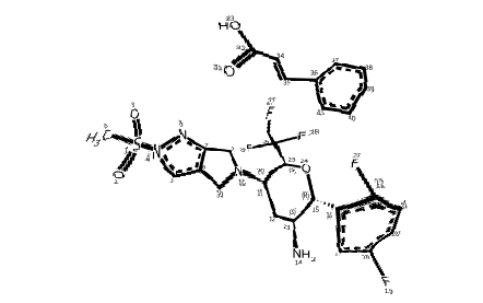 CS(=O)(=O)n1cc2c(n1)CN([C@@H]1C[C@H](N)[C@@H](c3cc(F)ccc3F)O[C@@H]1C(F)(F)F)C2.O=C(O)C=Cc1ccccc1